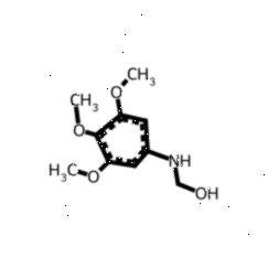 COc1cc(NCO)cc(OC)c1OC